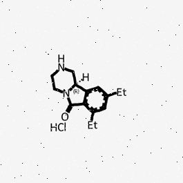 CCc1cc(CC)c2c(c1)[C@@H]1CNCCN1C2=O.Cl